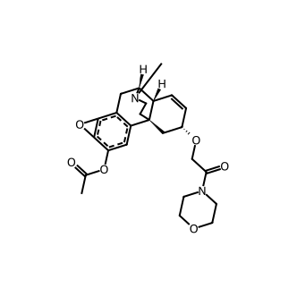 CC(=O)Oc1cc2c(c3c1O3)C[C@@H]1[C@@H]3C=C[C@H](OCC(=O)N4CCOCC4)C[C@]23CCN1C